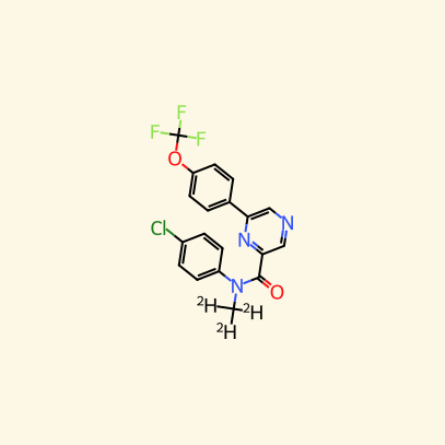 [2H]C([2H])([2H])N(C(=O)c1cncc(-c2ccc(OC(F)(F)F)cc2)n1)c1ccc(Cl)cc1